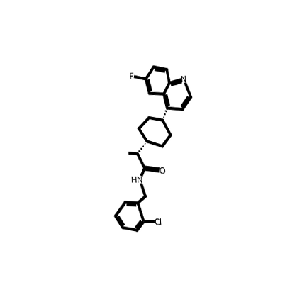 CC(C(=O)NCc1ccccc1Cl)[C@H]1CC[C@@H](c2ccnc3ccc(F)cc32)CC1